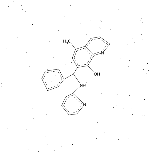 Cc1cc(C(Nc2ccccn2)c2ccccc2)c(O)c2ncccc12